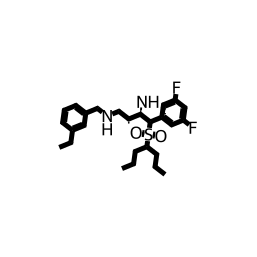 CCCC(CCC)S(=O)(=O)C(c1cc(F)cc(F)c1)[C@@H](N)[CH]CNCc1cccc(CC)c1